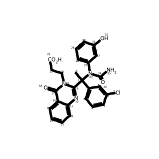 CC(c1cccc(Cl)c1)(c1nc2ccccc2c(=O)n1CCC(=O)O)N(C(N)=O)c1cccc(O)c1